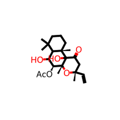 C=C[C@@]1(C)CC(=O)C2(O)[C@@]3(C)CCCC(C)(C)C3C(O)[C@H](OC(C)=O)[C@@]2(C)O1